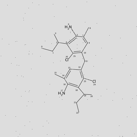 CCC(C)c1c(N)c(C)cc(Cc2cc(C)c(N)c(C(C)CC)c2Cl)c1Cl